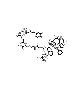 CC(=O)O[C@@]12CO[C@@H]1C[C@H](O)[C@@]1(C)C(=O)[C@H](O)C3=C(C)[C@@H](OC(=O)[C@H](OC(=O)CCC(=O)NCCCCC(NC(=O)CC[C@H](NC(=O)C(C)NC(=O)/C=C/c4ccc(F)c(F)c4)C(N)=O)C(N)=O)[C@@H](NC(=O)OC(C)(C)C)c4ccccc4)C[C@@](O)([C@@H](OC(=O)c4ccccc4)[C@H]21)C3(C)C